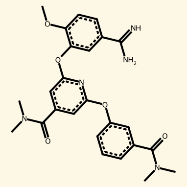 COc1ccc(C(=N)N)cc1Oc1cc(C(=O)N(C)C)cc(Oc2cccc(C(=O)N(C)C)c2)n1